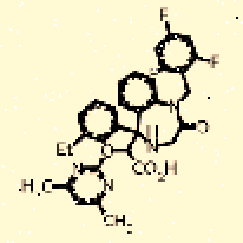 CCc1cccc(C2(C(Oc3nc(C)cc(C)n3)C(=O)O)NCC(=O)N(Cc3c(F)cc(F)cc3F)c3ccccc32)c1